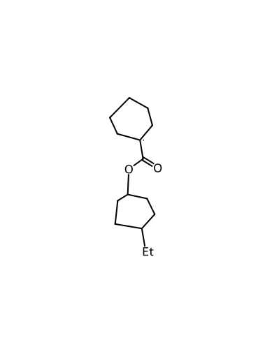 CCC1CCC(OC(=O)[C]2CCCCC2)CC1